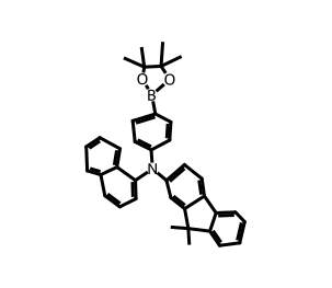 CC1(C)c2ccccc2-c2ccc(N(c3ccc(B4OC(C)(C)C(C)(C)O4)cc3)c3cccc4ccccc34)cc21